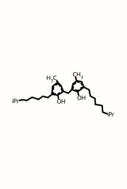 Cc1cc(CCCCCCC(C)C)c(O)c(Cc2cc(C)cc(CCCCCCC(C)C)c2O)c1